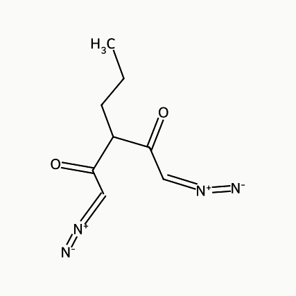 CCCC(C(=O)C=[N+]=[N-])C(=O)C=[N+]=[N-]